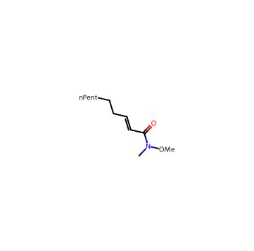 CCCCCCC/C=C/C(=O)N(C)OC